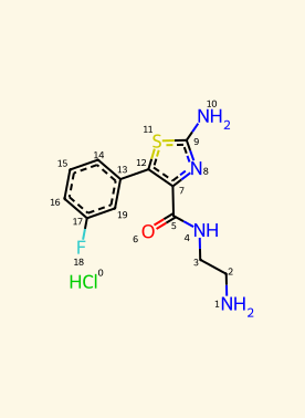 Cl.NCCNC(=O)c1nc(N)sc1-c1cccc(F)c1